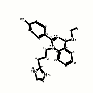 CCOC1N=C(c2ccc(F)cc2)N(CCCc2ncc[nH]2)c2ccccc21